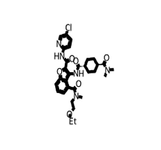 CCOCCN(C)C(=O)c1cccc2oc(C(=O)Nc3ccc(Cl)cn3)c(NC(=O)[C@H]3CC[C@H](C(=O)N(C)C)CC3)c12